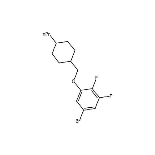 CCCC1CCC(COc2cc(Br)cc(F)c2F)CC1